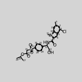 Cc1cc(Cl)c2cc(C(=O)NC(CO)c3ccc(S(=O)(=O)CC(=O)OC(C)C)cc3)n(C)c2c1